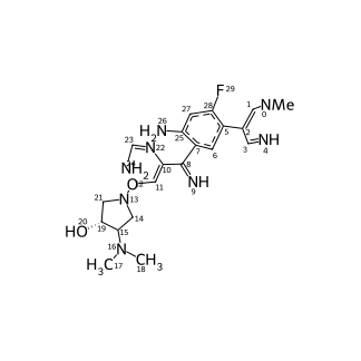 CN/C=C(\C=N)c1cc(C(=N)C(=C/ON2CC(N(C)C)[C@H](O)C2)/N=C\N)c(N)cc1F